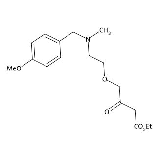 CCOC(=O)CC(=O)COCCN(C)Cc1ccc(OC)cc1